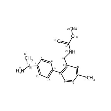 Cc1ccc(-c2ccc([C@@H](C)N)cc2)c(CNC(=O)OC(C)(C)C)c1